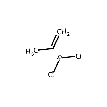 C=CC.Cl[P]Cl